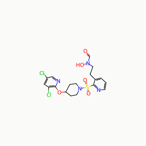 O=CN(O)CCc1cccnc1S(=O)(=O)N1CCC(Oc2ncc(Cl)cc2Cl)CC1